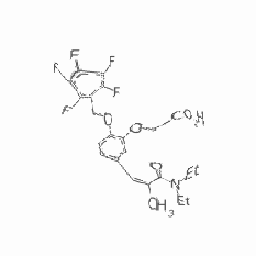 CCN(CC)C(=O)/C(C)=C\c1ccc(OCc2c(F)c(F)c(F)c(F)c2F)c(OCC(=O)O)c1